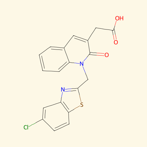 O=C(O)Cc1cc2ccccc2n(Cc2nc3cc(Cl)ccc3s2)c1=O